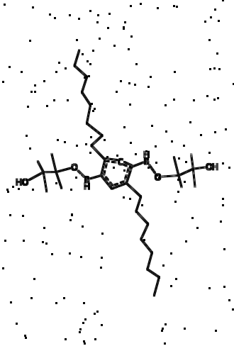 CCCCCCCCc1cc(BOC(C)(C)C(C)(C)O)c(CCCCCCCC)cc1BOC(C)(C)C(C)(C)O